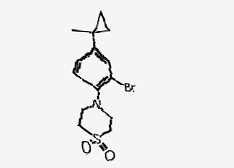 CC1(c2ccc(N3CCS(=O)(=O)CC3)c(Br)c2)CC1